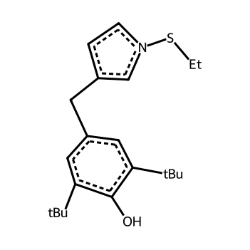 CCSn1ccc(Cc2cc(C(C)(C)C)c(O)c(C(C)(C)C)c2)c1